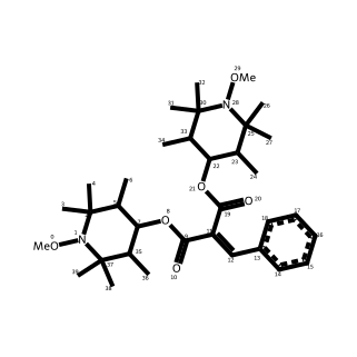 CON1C(C)(C)C(C)C(OC(=O)C(=Cc2ccccc2)C(=O)OC2C(C)C(C)(C)N(OC)C(C)(C)C2C)C(C)C1(C)C